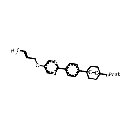 C/C=C/COc1cnc(-c2ccc(C34CCC(CCCCC)(CC3)CC4)cc2)nc1